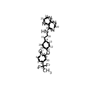 CC(F)(F)c1cc[n+]([O-])c(Oc2ccc(CCNc3ncnc4nccnc34)cc2)c1